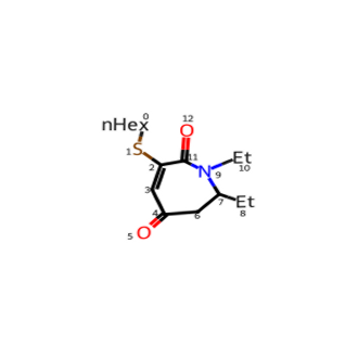 CCCCCCSC1=CC(=O)CC(CC)N(CC)C1=O